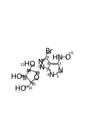 CONc1ncnc2c1c(Br)nn2[C@@H]1O[C@H](CO)[C@@H](O)[C@@]1(C)O